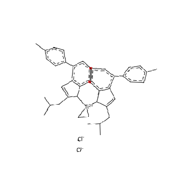 Cc1ccc(-c2cccc3c2C=C(CC(C)C)[CH]3[Ti+2]2([CH]3C(CC(C)C)=Cc4c(-c5ccc(C)cc5)cccc43)[CH2][CH2]2)cc1.[Cl-].[Cl-]